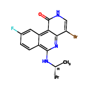 CC(C)[C@@H](C)Nc1nc2c(Br)c[nH]c(=O)c2c2cc(F)ccc12